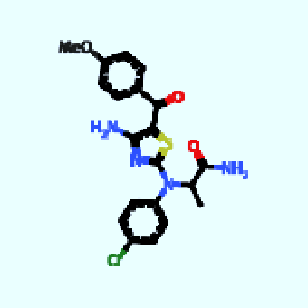 COc1ccc(C(=O)c2sc(N(c3ccc(Cl)cc3)C(C)C(N)=O)nc2N)cc1